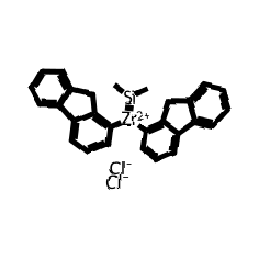 C[Si](C)=[Zr+2]([c]1cccc2c1Cc1ccccc1-2)[c]1cccc2c1Cc1ccccc1-2.[Cl-].[Cl-]